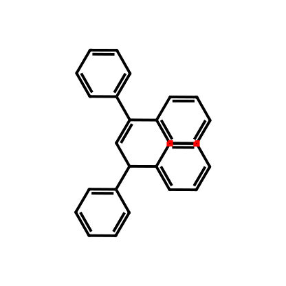 C(=C(c1ccccc1)c1ccccc1)C(c1ccccc1)c1ccccc1